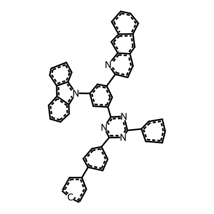 c1ccc(-c2ccc(-c3nc(-c4ccccc4)nc(-c4cc(-c5ccc6cc7ccccc7cc6n5)cc(-n5c6ccccc6c6ccccc65)c4)n3)cc2)cc1